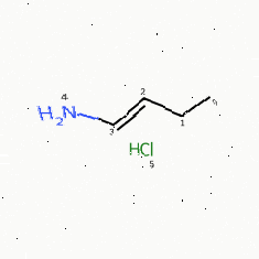 CCC=CN.Cl